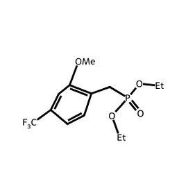 CCOP(=O)(Cc1ccc(C(F)(F)F)cc1OC)OCC